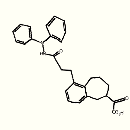 O=C(CCc1cccc2c1CCCC(C(=O)C(=O)O)C2)NN(c1ccccc1)c1ccccc1